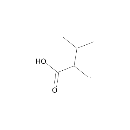 [CH2]C(C(=O)O)C(C)C